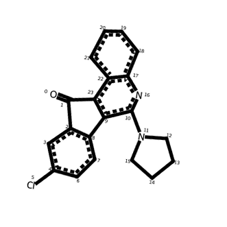 O=C1c2cc(Cl)ccc2-c2c(N3CCCC3)nc3ccccc3c21